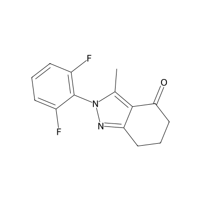 Cc1c2c(nn1-c1c(F)cccc1F)CCCC2=O